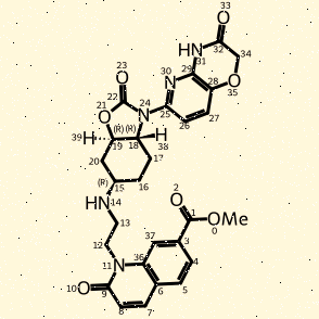 COC(=O)c1ccc2ccc(=O)n(CCN[C@@H]3CC[C@@H]4[C@@H](C3)OC(=O)N4c3ccc4c(n3)NC(=O)CO4)c2c1